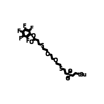 CC(C)(C)CCS(=O)(=O)CCSCCOCCOCCSCCC(=O)Oc1c(F)c(F)c(F)c(F)c1F